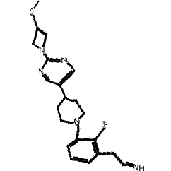 COC1CN(c2ncc(C3CCN(c4cccc(CC=N)c4F)CC3)cn2)C1